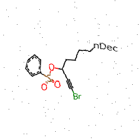 CCCCCCCCCCCCCCC(C#CBr)OS(=O)(=O)c1ccccc1